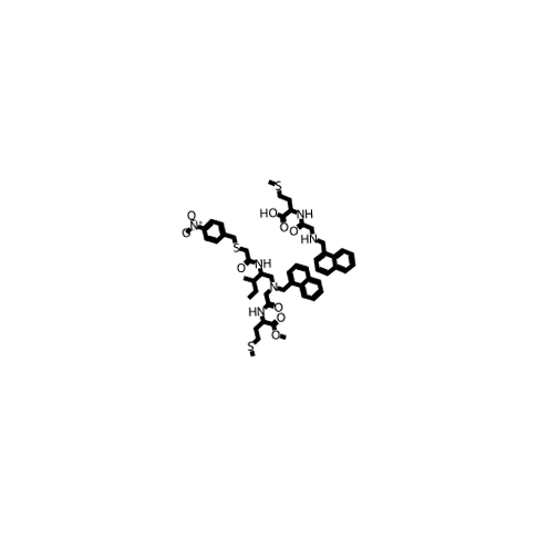 CCC(C)C(CN(CC(=O)NC(CCSC)C(=O)OC)Cc1cccc2ccccc12)NC(=O)CSCc1ccc([N+](=O)[O-])cc1.CSCCC(NC(=O)CNCc1cccc2ccccc12)C(=O)O